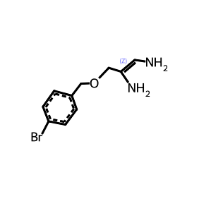 N/C=C(\N)COCc1ccc(Br)cc1